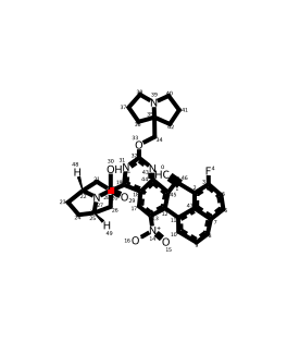 C#Cc1c(F)ccc2cccc(-c3c([N+](=O)[O-])cc4c(N5C[C@H]6CC[C@@H](C5)N6C(=O)O)nc(OCC56CCCN5CCC6)nc4c3F)c12